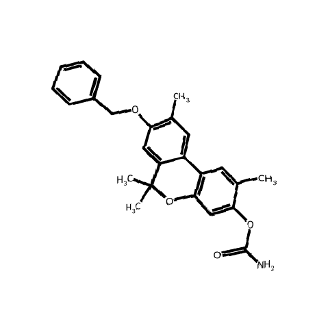 Cc1cc2c(cc1OCc1ccccc1)C(C)(C)Oc1cc(OC(N)=O)c(C)cc1-2